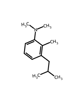 Cc1c(CC(C)C)cccc1N(C)C